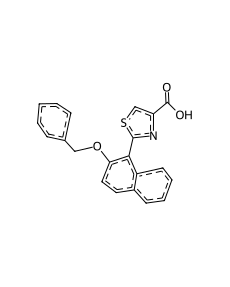 O=C(O)c1csc(-c2c(OCc3ccccc3)ccc3ccccc23)n1